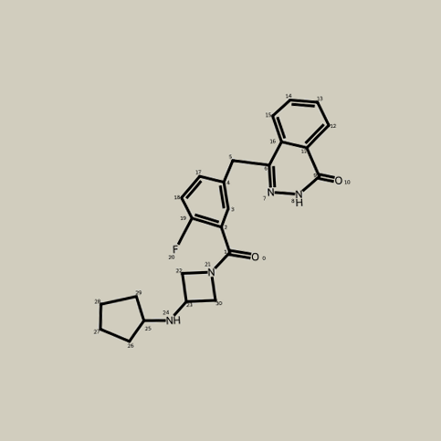 O=C(c1cc(Cc2n[nH]c(=O)c3ccccc23)ccc1F)N1CC(NC2CCCC2)C1